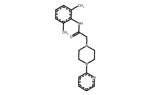 Cc1cccc(C)c1NC(=O)CN1CCN(c2ccccn2)CC1